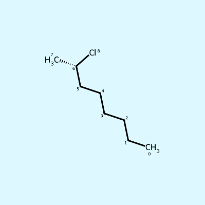 CCCCCC[C@H](C)Cl